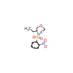 CCC1COCCN1S(=O)(=O)c1ccccc1[N+](=O)[O-]